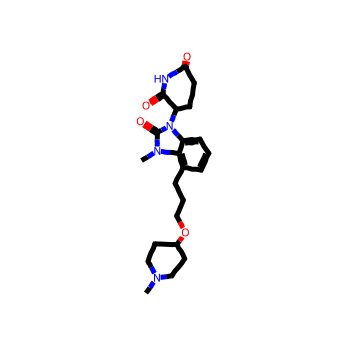 CN1CCC(OCCCc2cccc3c2n(C)c(=O)n3C2CCC(=O)NC2=O)CC1